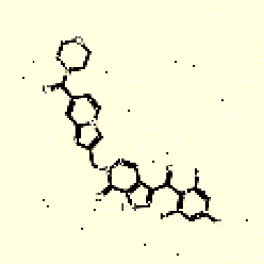 O=C(c1c(F)cc(F)cc1F)c1c[nH]c2c(=O)n(Cc3cn4ccc(C(=O)N5CCOCC5)cc4n3)ccc12